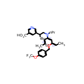 C\C=C(/C=C(\C=C(\C)CC)N(CCC)CC(c1cncc(C(=O)O)c1)C(C)CC)OCc1ccc(OC(F)(F)F)cc1